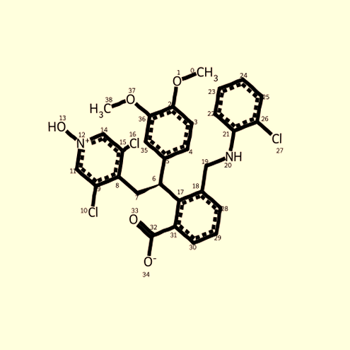 COc1ccc([C@H](Cc2c(Cl)c[n+](O)cc2Cl)c2c(CNc3ccccc3Cl)cccc2C(=O)[O-])cc1OC